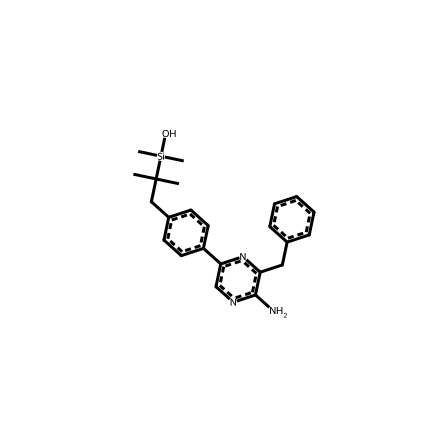 CC(C)(Cc1ccc(-c2cnc(N)c(Cc3ccccc3)n2)cc1)[Si](C)(C)O